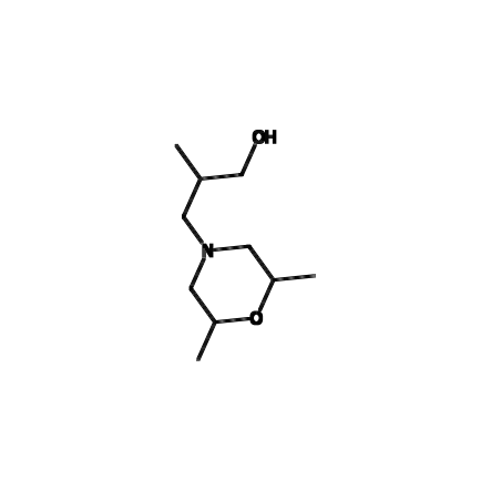 CC(CO)CN1CC(C)OC(C)C1